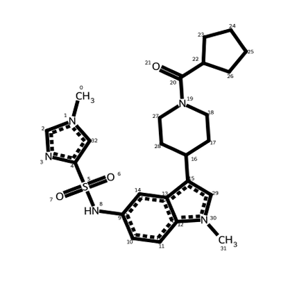 Cn1cnc(S(=O)(=O)Nc2ccc3c(c2)c(C2CCN(C(=O)C4CCCC4)CC2)cn3C)c1